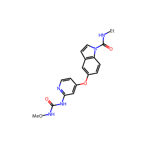 CCNC(=O)n1ccc2cc(Oc3ccnc(NC(=O)NOC)c3)ccc21